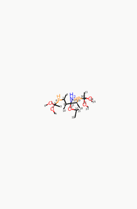 COC(C)(OC)PC(C)C(C)C(N)(OC(C)C)C(C)PC(C)(OC)OC